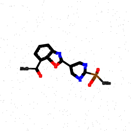 COC(=O)c1cccc2nc(-c3cnc(S(=O)(=O)OC)nc3)oc12